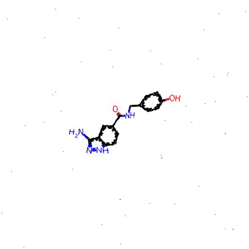 Nc1n[nH]c2ccc(C(=O)NCc3ccc(O)cc3)cc12